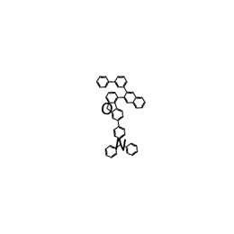 c1ccc(-c2cccc(-c3cc4ccccc4cc3-c3cccc4oc5cc(-c6ccc(N(c7ccccc7)c7ccccc7)cc6)ccc5c34)c2)cc1